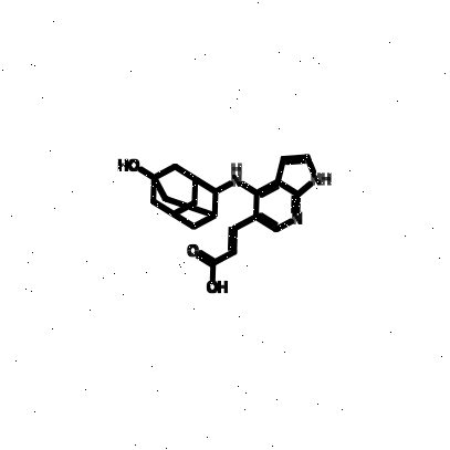 O=C(O)C=Cc1cnc2[nH]ccc2c1NC1C2CC3CC1CC(O)(C3)C2